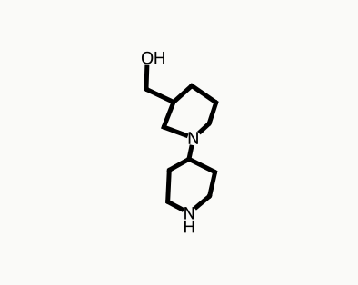 OCC1CCCN(C2CCNCC2)C1